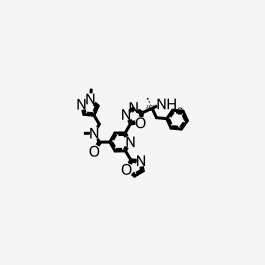 CN(Cc1cnn(C)c1)C(=O)c1cc(-c2ncco2)nc(-c2nnc([C@@](C)(N)Cc3ccccc3)o2)c1